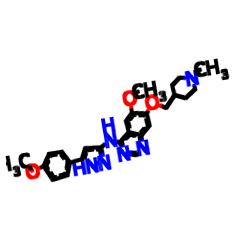 COc1ccc(-c2cc(Nc3ncnc4cc(OCC5CCN(C)CC5)c(OC)cc34)n[nH]2)cc1